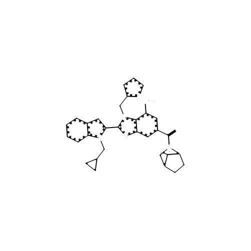 COc1cc(C(=O)N2CC3CCC2[C@@H]3N)cc2nc(-c3cc4ccccc4n3CC3CC3)n(Cc3cccs3)c12